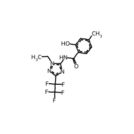 CCn1nc(C(F)(F)C(F)(F)F)nc1NC(=O)c1ccc(C)cc1O